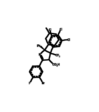 CC1CCCC([C@@]2(C(C)C)N=C(c3ccc(F)c(Br)c3)C(C(=O)O)C2(c2cc(Cl)c(Cl)c(Cl)c2)C(F)(F)F)C1